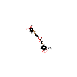 COc1cc(SCCOC(=O)OCCSc2ccc(O)c(OC)c2)ccc1O